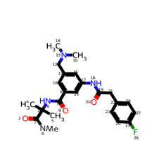 CNC(=O)C(C)(C)NC(=O)c1cc(CN(C)C)cc(NC(=O)Cc2ccc(F)cc2)c1